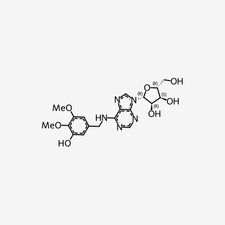 COc1cc(CNc2ncnc3c2ncn3[C@@H]2O[C@H](CO)[C@@H](O)[C@H]2O)cc(O)c1OC